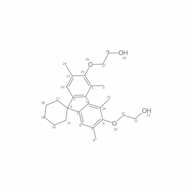 Cc1cc(C2(c3cc(C)c(OCCO)c(C)c3)CCCCC2)cc(C)c1OCCO